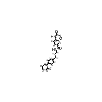 O=C1COc2cc(C(=O)NCCCc3ccc(-c4ccccc4F)cc3)ccc2N1